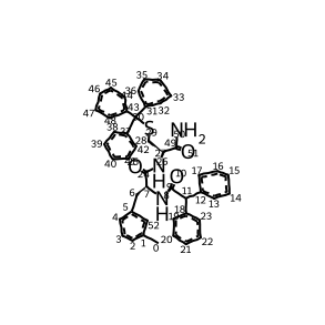 Cc1cccc(C[C@H](NC(=O)C(c2ccccc2)c2ccccc2)C(=O)N[C@@H](CSC(c2ccccc2)(c2ccccc2)c2ccccc2)C(N)=O)c1